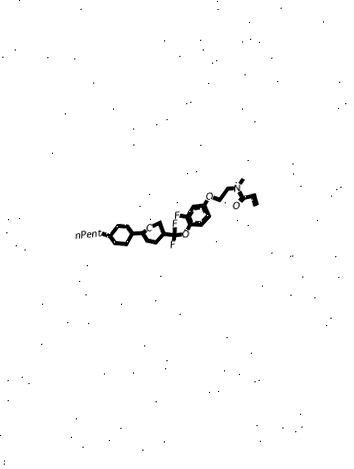 C=CC(=O)N(C)CCOc1ccc(OC(F)(F)C2CCC(C3CCC(CCCCC)CC3)CC2)c(F)c1